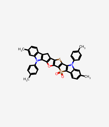 Cc1ccc(-n2c3c(c4ccc(C)cc42)Cc2c-3oc3c4c(sc23)-c2c(c3ccc(C)cc3n2-c2ccc(C)cc2)S4(=O)=O)cc1